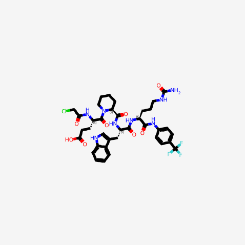 NC(=O)NCCC[C@H](NC(=O)[C@H](Cc1c[nH]c2ccccc12)NC(=O)[C@@H]1CCCCN1C(=O)[C@H](CCC(=O)O)NC(=O)CCl)C(=O)Nc1ccc(C(F)(F)F)cc1